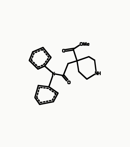 COC(=O)C1(CC(=O)N(c2ccccc2)c2ccccc2)CCNCC1